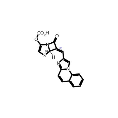 O=C(O)OC1=CS[C@@H]2/C(=C\c3cn4c(ccc5ccccc54)n3)C(=O)N12